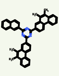 Cc1c(C)c2cc(-c3nc(-c4ccc5ccccc5c4)nc(-c4ccc5c(c4)c(C)c(C)c4ccccc45)n3)ccc2c2ccccc12